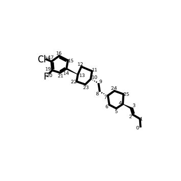 CCC=C[C@H]1CC[C@H](CC[C@H]2CC[C@H](c3ccc(Cl)c(F)c3)CC2)CC1